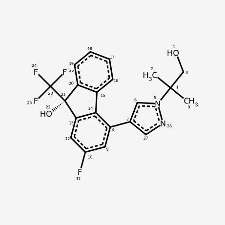 CC(C)(CO)n1cc(-c2cc(F)cc3c2-c2ccccc2[C@]3(O)C(F)(F)F)cn1